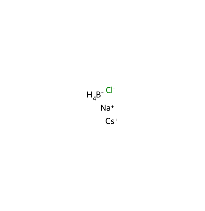 [BH4-].[Cl-].[Cs+].[Na+]